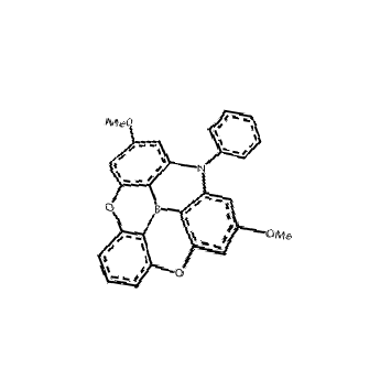 COc1cc2c3c(c1)N(c1ccccc1)c1cc(OC)cc4c1B3c1c(cccc1O4)O2